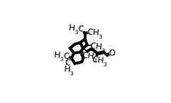 C/C(=C\C=O)CC[C@]12C(CCC3C(C)(C)CCCC31C)C(C(C)C)[C@H]2C